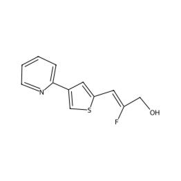 OC/C(F)=C/c1cc(-c2ccccn2)cs1